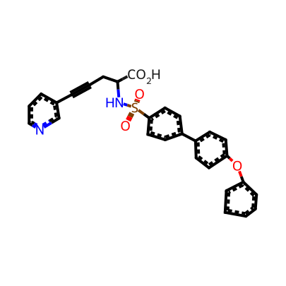 O=C(O)C(CC#Cc1cccnc1)NS(=O)(=O)c1ccc(-c2ccc(Oc3ccccc3)cc2)cc1